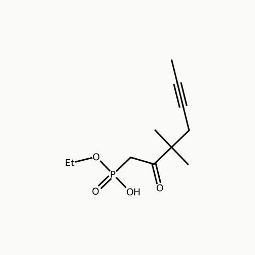 CC#CCC(C)(C)C(=O)CP(=O)(O)OCC